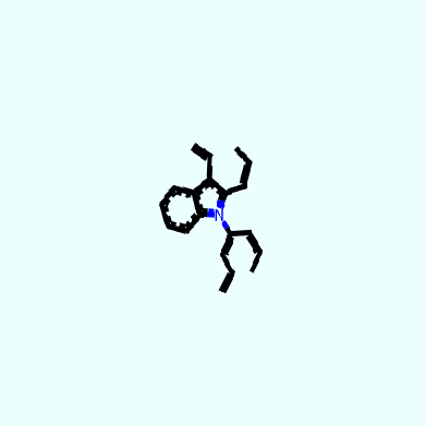 C=C/C=C(\C=C/C)n1c(/C=C\C)c(C=C)c2ccccc21